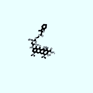 Cc1c(C(=O)OCOC(=O)N(CC(=O)Nc2cc(N(C)C)c3c(c2O)C(=O)C2=C(O)[C@]4(O)C(=O)C(C(N)=O)=C(O)C(N(C)C)C4CC2C3)C(C)(C)C)oc2ccccc12